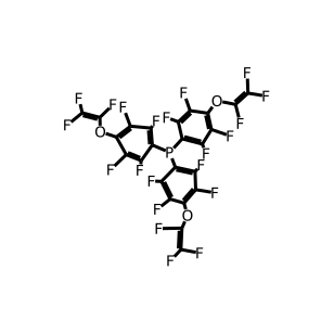 FC(F)=C(F)Oc1c(F)c(F)c(P(c2c(F)c(F)c(OC(F)=C(F)F)c(F)c2F)c2c(F)c(F)c(OC(F)=C(F)F)c(F)c2F)c(F)c1F